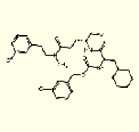 CN(CCc1cccc(Cl)c1)C(=O)CC[C@H](C=O)NC(=O)[C@@H](CC1CCCCC1)NC(=O)OCc1cccc(Cl)c1